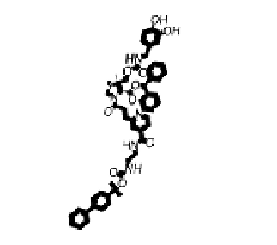 CC(C)(OC(=O)NCCNC(=O)c1ccnc(/C=C/C(=O)N2CS[C@@](C)(COC(=O)NCc3ccc(O)c(O)c3)[C@@H]2C(=O)OC(c2ccccc2)c2ccccc2)c1)c1ccc(-c2ccccc2)cc1